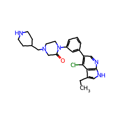 CCc1c[nH]c2ncc(-c3cccc(N4CCN(CC5CCNCC5)CC4=O)c3)c(Cl)c12